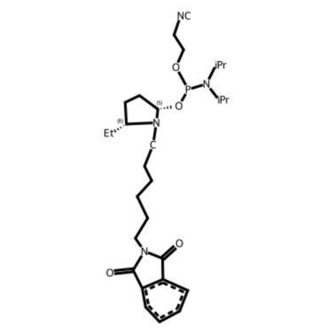 [C-]#[N+]CCOP(O[C@H]1CC[C@@H](CC)N1CCCCCCN1C(=O)c2ccccc2C1=O)N(C(C)C)C(C)C